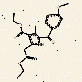 CCOC(=O)Cc1[nH]c(C(=O)c2ccc(OC)cc2)c(C)c1C(=O)OCC